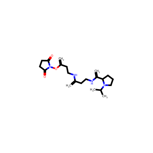 C=C(CCNC(=C)C1CCCN1C(C)C)NCCC(=C)ON1C(=O)CCC1=O